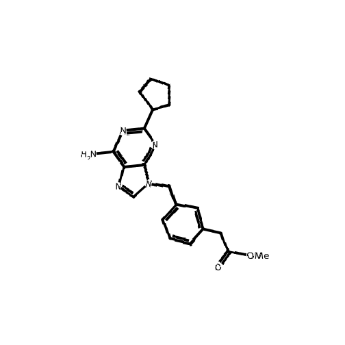 COC(=O)Cc1cccc(Cn2cnc3c(N)nc(C4CCCC4)nc32)c1